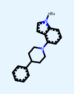 CCCCn1ccc2c(N3CCC(c4ccccc4)CC3)cccc21